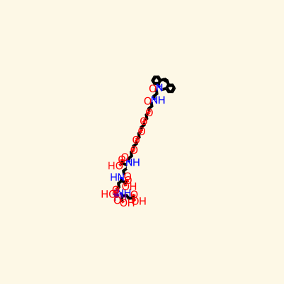 O=C(O)CCC(NP(O)(=P)OCCC(NC(=O)CC[C@@H](NC(=O)CCOCCOCCOCCOCCOCCC(=O)NCCC(=O)N1Cc2ccccc2C#Cc2ccccc21)C(=O)O)C(=O)O)C(=O)O